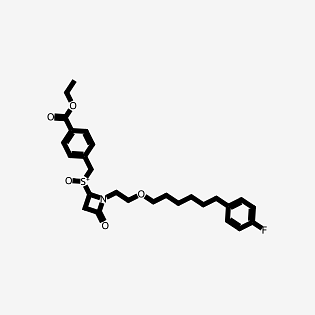 CCOC(=O)c1ccc(C[S+]([O-])C2CC(=O)N2CCOCCCCCCc2ccc(F)cc2)cc1